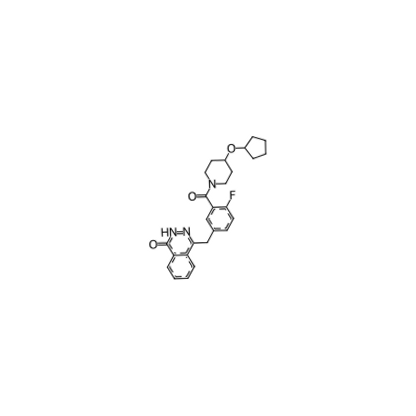 O=C(c1cc(Cc2n[nH]c(=O)c3ccccc23)ccc1F)N1CCC(OC2CCCC2)CC1